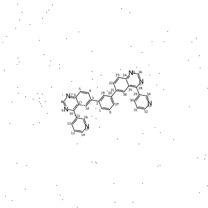 c1cc(-c2ccc3ncnc(-c4cccnc4)c3c2)cc(-c2ccc3ncnc(-c4cccnc4)c3c2)c1